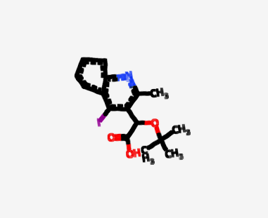 Cc1nc2ccccc2c(I)c1C(OC(C)(C)C)C(=O)O